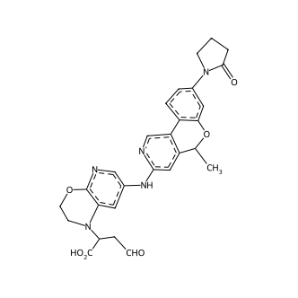 CC1Oc2cc(N3CCCC3=O)ccc2-c2cnc(Nc3cnc4c(c3)N(C(CC=O)C(=O)O)CCO4)cc21